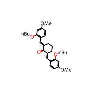 CCCCOc1cc(OC)ccc1/C=C1\CCC/C(=C\c2ccc(OC)cc2OCCCC)C1=O